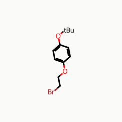 CC(C)(C)Oc1ccc(OCCBr)cc1